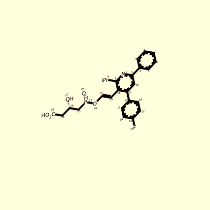 CC(C)c1nc(-c2ccccc2)cc(-c2ccc(F)cc2)c1/C=C/O[PH](=O)C[C@@H](O)CC(=O)O